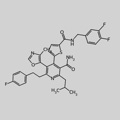 Cc1ncoc1-c1c(CCc2ccc(F)cc2)nc(CC(C)C)c(C(N)=O)c1-c1ccc(C(=O)NCc2ccc(F)c(F)c2)s1